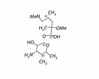 CNC[C@H](C)CC(C)(OC)[C@@H](O)O[C@@H]1OC(C)[C@H](C)C(N)C1O